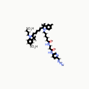 Cc1ccc2c(c1)C(C)(C)C(/C=C/C=C/C=C1/N(CCCS(=O)(=O)O)c3ccc(S(=O)(=O)O)cc3C1(C)C)=[N+]2CCCCCC(=O)NCCC(=O)Nc1ccc(CN=[N+]=[N-])nc1